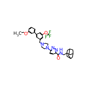 CCOc1cccc(-c2cc(CN3CCN(c4ccc(C(=O)NCC56CC7CC(CC(C7)C5)C6)nn4)CC3)cc(OC(F)(F)F)c2)c1